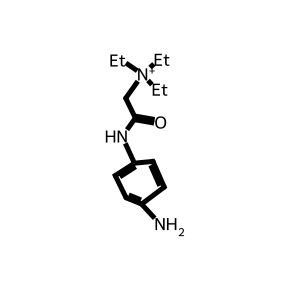 CC[N+](CC)(CC)CC(=O)Nc1ccc(N)cc1